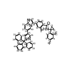 O=C(NC1(c2ccc(F)cc2F)CC1)c1ccc(-c2cnc3ccc(-c4cnn(C(c5ccccc5)(c5ccccc5)c5ccccc5)c4)cn23)cc1F